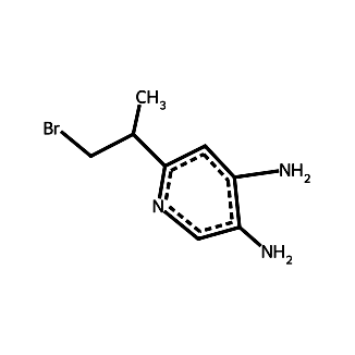 CC(CBr)c1cc(N)c(N)cn1